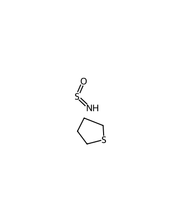 C1CCSC1.N=S=O